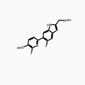 COc1ccc(-c2cc3[nH]c(CNC(C)=O)cc3cc2F)nc1F